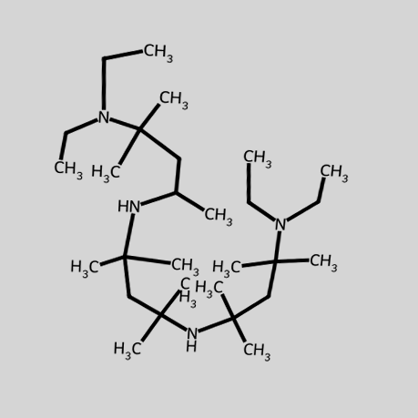 CCN(CC)C(C)(C)CC(C)NC(C)(C)CC(C)(C)NC(C)(C)CC(C)(C)N(CC)CC